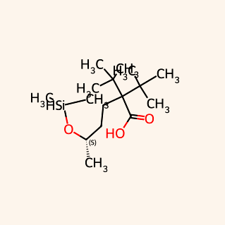 C[C@@H](CCC(C(=O)O)(C(C)(C)C)C(C)(C)C)O[SiH](C)C